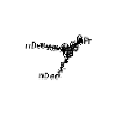 CCCCCCCCCCCCCCCCCCCC(=O)O[C@H]1C[C@H](OC(=O)CCC(=O)C(C)C)C[C@H]1OC(=O)CCCCCCCCCCCCCCCCCCC